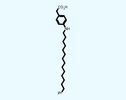 CC(C)CCCCCCCCCCCCCCNc1ccc(CC(=O)O)cc1